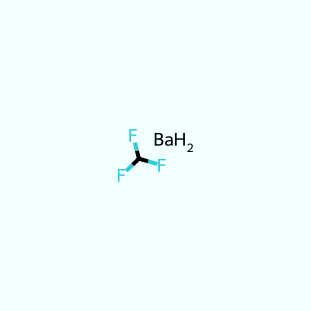 FC(F)F.[BaH2]